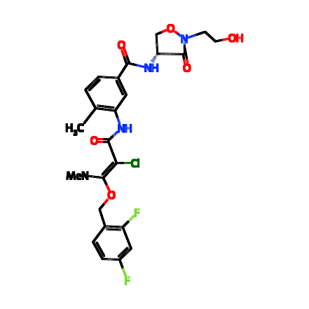 CN/C(OCc1ccc(F)cc1F)=C(/Cl)C(=O)Nc1cc(C(=O)N[C@@H]2CON(CCO)C2=O)ccc1C